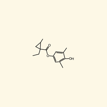 CCC1(C(=O)Oc2cc(C)c(O)c(C)c2)CC1C